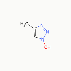 Cc1cn(O)nn1